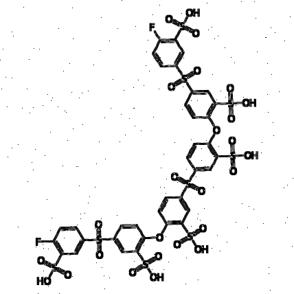 O=S(=O)(O)c1cc(S(=O)(=O)c2ccc(Oc3ccc(S(=O)(=O)c4ccc(Oc5ccc(S(=O)(=O)c6ccc(F)c(S(=O)(=O)O)c6)cc5S(=O)(=O)O)c(S(=O)(=O)O)c4)cc3S(=O)(=O)O)c(S(=O)(=O)O)c2)ccc1F